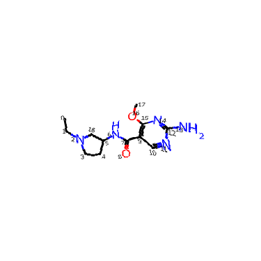 CCN1CCC(NC(=O)c2cnc(N)nc2OC)C1